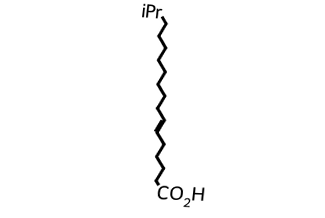 CC(C)CCCCCCCCC=CCCCCC(=O)O